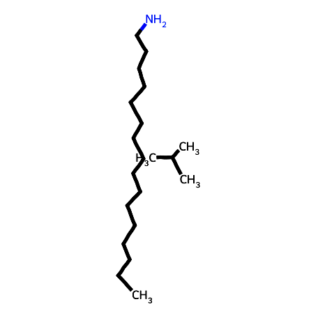 CC(C)C.CCCCCCCCCCCCCCCCN